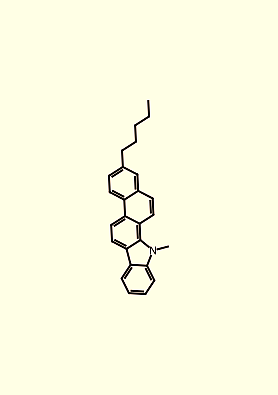 CCCCCc1ccc2c(ccc3c2ccc2c4ccccc4n(C)c32)c1